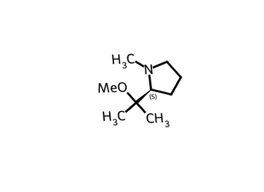 COC(C)(C)[C@@H]1CCCN1C